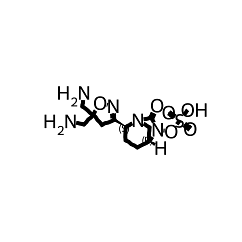 NCC1(CN)CC([C@@H]2CC[C@@H]3CN2C(=O)N3OS(=O)(=O)O)=NO1